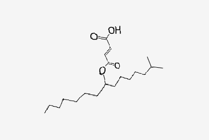 CCCCCCCC(CCCCCC(C)C)OC(=O)C=CC(=O)O